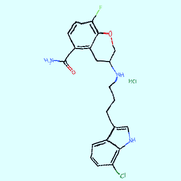 Cl.NC(=O)c1ccc(F)c2c1CC(NCCCc1c[nH]c3c(Cl)cccc13)CO2